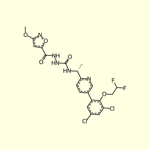 COc1cc(C(=O)NNC(=O)N[C@H](C)c2ccc(-c3cc(Cl)cc(Cl)c3OCC(F)F)cn2)on1